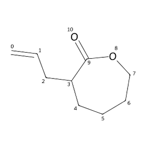 C=CCC1CCCCOC1=O